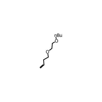 C=CCCOCCOCCCC